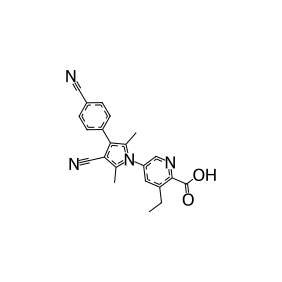 CCc1cc(-n2c(C)c(C#N)c(-c3ccc(C#N)cc3)c2C)cnc1C(=O)O